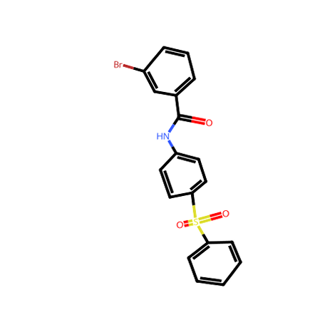 O=C(Nc1ccc(S(=O)(=O)c2ccccc2)cc1)c1cccc(Br)c1